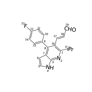 CC(C)c1nc2[nH]ccc2c(-c2ccc(F)cc2)c1C=CC=O